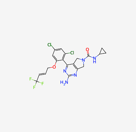 Nc1nc2c(c(-c3c(Cl)cc(Cl)cc3OCC=CC(F)(F)F)n1)CN(C(=O)NC1CC1)C2